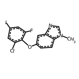 Cn1cnc2cc(Oc3c(F)cc(I)cc3Cl)ccc21